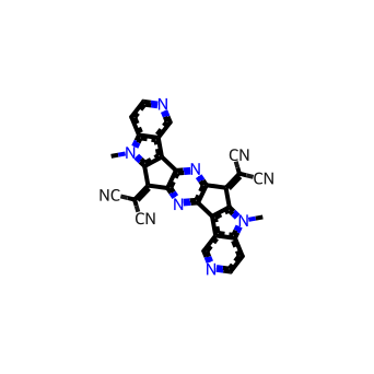 Cn1c2c(c3cnccc31)-c1nc3c(nc1C2=C(C#N)C#N)-c1c(n(C)c2ccncc12)C3=C(C#N)C#N